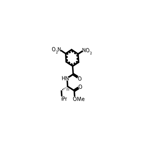 COC(=O)[C@H](CC(C)C)NC(=O)c1cc([N+](=O)[O-])cc([N+](=O)[O-])c1